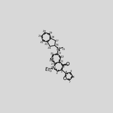 CCn1cc(-c2ccco2)c(=O)c2cc(N(C)C3Cc4ccccc4C3)cnc21